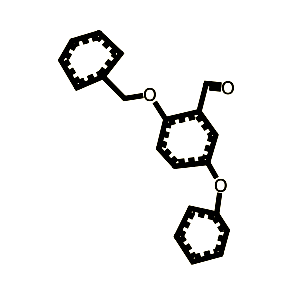 O=Cc1cc(Oc2ccccc2)ccc1OCc1ccccc1